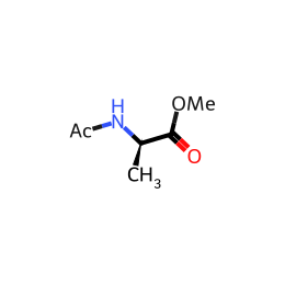 COC(=O)[C@@H](C)NC(C)=O